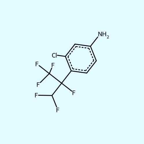 Nc1ccc(C(F)(C(F)F)C(F)(F)F)c(Cl)c1